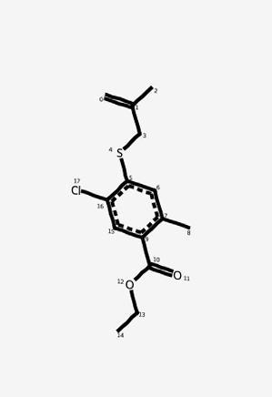 C=C(C)CSc1cc(C)c(C(=O)OCC)cc1Cl